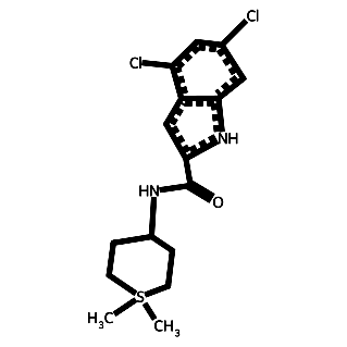 CS1(C)CCC(NC(=O)c2cc3c(Cl)cc(Cl)cc3[nH]2)CC1